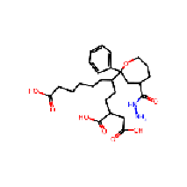 NNC(=O)C1CCCOC(c2ccccc2)(C(CCCCCC(=O)O)CCC(CC(=O)O)C(=O)O)C1